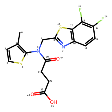 Cc1ccsc1N(Cc1nc2ccc(F)c(F)c2s1)C(=O)CCC(=O)O